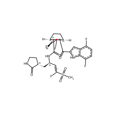 CS(=O)(=O)/C(F)=C/[C@@H](C[C@H]1CCNC1=O)NC(=O)[C@@H]1[C@H]2CC[C@H](CC2(F)F)N1C(=O)c1cc2c(F)ccc(F)c2[nH]1